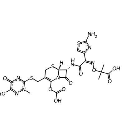 Cn1nc(O)c(=O)nc1SCC1=C(OC(=O)O)N2C(=O)[C@@H](NC(=O)/C(=N\OC(C)(C)C(=O)O)c3csc(N)n3)[C@H]2SC1